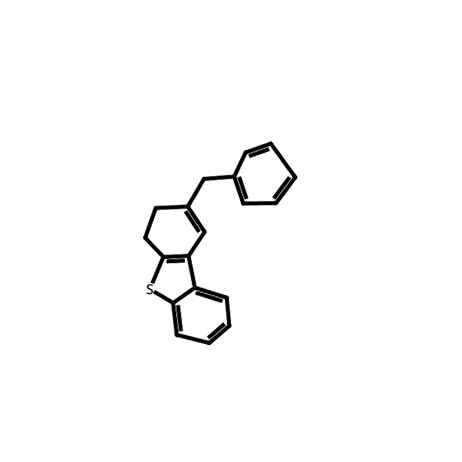 C1=C(Cc2ccccc2)CCc2sc3ccccc3c21